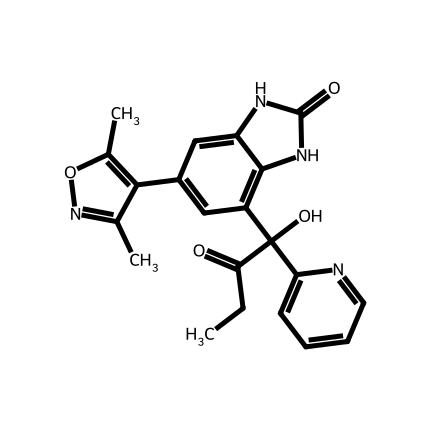 CCC(=O)C(O)(c1ccccn1)c1cc(-c2c(C)noc2C)cc2[nH]c(=O)[nH]c12